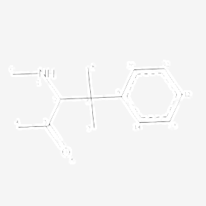 CNC(C(C)=O)C(C)(C)c1ccccc1